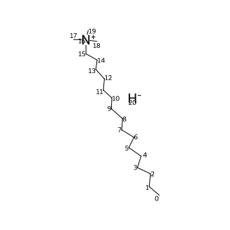 CCCCCCCCCCCCCCCC[N+](C)(C)C.[H-]